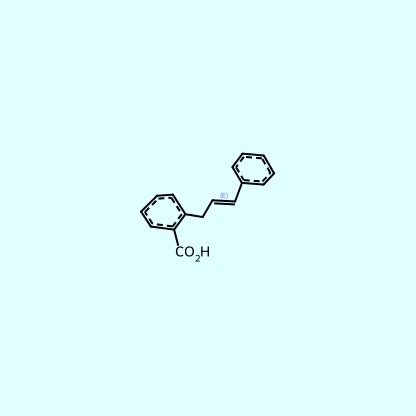 O=C(O)c1ccccc1C/C=C/c1ccccc1